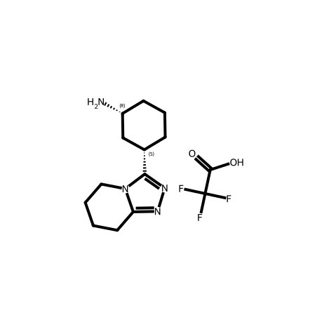 N[C@@H]1CCC[C@H](c2nnc3n2CCCC3)C1.O=C(O)C(F)(F)F